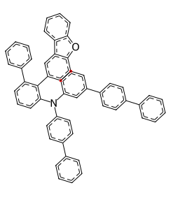 c1ccc(-c2ccc(-c3cccc(N(c4ccc(-c5ccccc5)cc4)c4cccc(-c5ccccc5)c4-c4ccc5oc6ccccc6c5c4)c3)cc2)cc1